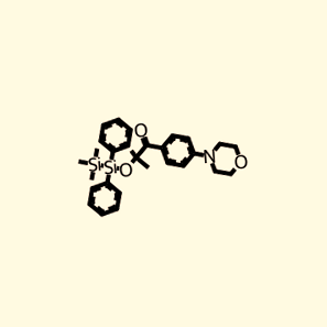 CC(C)(O[Si](c1ccccc1)(c1ccccc1)[Si](C)(C)C)C(=O)c1ccc(N2CCOCC2)cc1